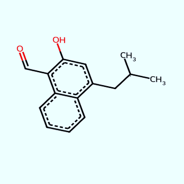 C[C](C)Cc1cc(O)c(C=O)c2ccccc12